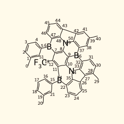 Cc1cccc(B2c3c4c5c6c(c3C(F)(F)F)B(c3cccc(C)c3)c3cccc7c8c(C)ccc(c8n-6c37)B5c3cc(C)cc5c6cccc2c6n-4c35)c1